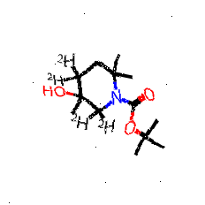 [2H]C1([2H])CC(C)(C)N(C(=O)OC(C)(C)C)C([2H])([2H])C1(C)O